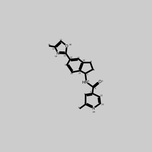 Cc1cc(C(=O)NC2CCc3cc(-c4nc(C)co4)ccc32)ccn1